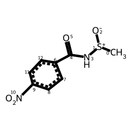 C[S+]([O-])NC(=O)c1ccc([N+](=O)[O-])cc1